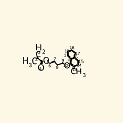 C=C(C)C(=O)OCCCCOc1c(C)ccc2ccccc12